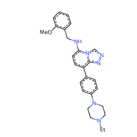 CCN1CCN(c2ccc(-c3ccc(NCc4ccccc4OC)n4cnnc34)cc2)CC1